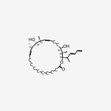 C=CC=CC(C)[C@H]1OC(=O)CCCCCCCCC=C[C@H](C)[C@H](O)[C@@H](C)C=CCC[C@@H](O)[C@H]1C